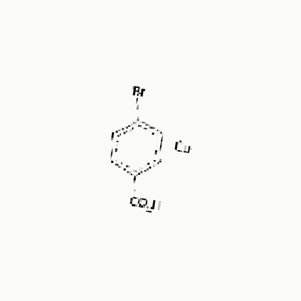 O=C(O)c1ccc(Br)cc1.[Cu]